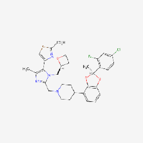 Cc1nc(CN2CCC(c3cccc4c3O[C@@](C)(c3ccc(Cl)cc3F)O4)CC2)n(C[C@@H]2CCO2)c1-c1csc(C(=O)O)n1